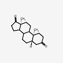 C[C@]12CCC3C(CC[C@H]4CC(=O)CC[C@]34C)C1CCC2=O